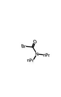 CCCN(CCC)C(=O)Br